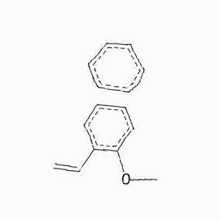 C=Cc1ccccc1OC.c1ccccc1